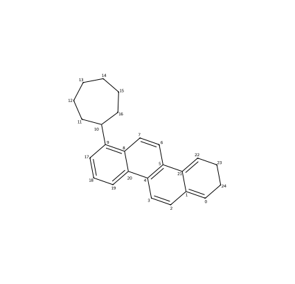 C1=c2ccc3c(ccc4c(C5CCCCCC5)cccc43)c2=CCC1